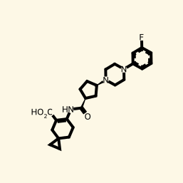 O=C(O)C1=C(NC(=O)[C@H]2CC[C@@H](N3CCN(c4cccc(F)c4)CC3)C2)CCC2(CC2)C1